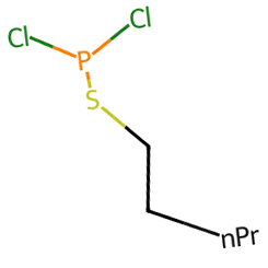 CCCCCSP(Cl)Cl